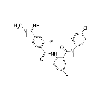 CNC(=N)c1ccc(C(=O)Nc2ccc(F)cc2C(=O)Nc2ccc(Cl)cn2)c(F)c1